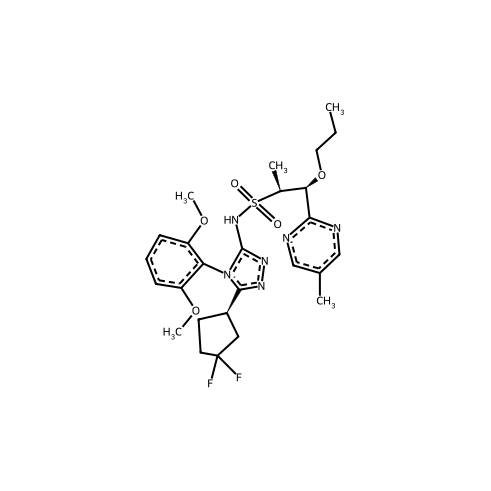 CCCO[C@@H](c1ncc(C)cn1)[C@H](C)S(=O)(=O)Nc1nnc([C@@H]2CCC(F)(F)C2)n1-c1c(OC)cccc1OC